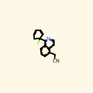 N#CCc1cccc2c(C3(F)C=CC=CC3)nccc12